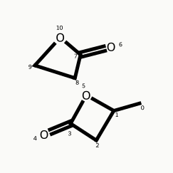 CC1CC(=O)O1.O=C1CCO1